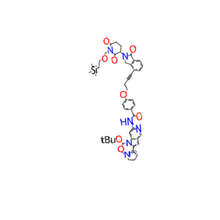 CN1CCC[C@@H]1c1cc2cnc(NC(=O)c3ccc(OCCC#Cc4cccc5c4CN(C4CCC(=O)N(COCC[Si](C)(C)C)C4=O)C5=O)cc3)cc2n1C(=O)OC(C)(C)C